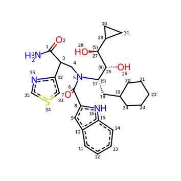 NC(=O)C(CN(C(=O)c1cc2ccccc2[nH]1)[C@@H](CC1CCCCC1)[C@@H](O)[C@@H](O)C1CC1)c1cscn1